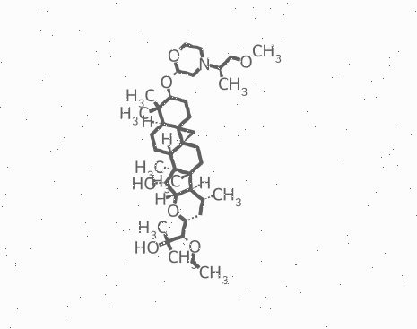 CCO[C@@H]([C@H]1C[C@@H](C)[C@H]2[C@H](O1)[C@H](O)[C@@]1(C)[C@@H]3CC[C@H]4C(C)(C)[C@@H](O[C@H]5CN([C@H](C)COC)CCO5)CCC45C[C@@]35CC[C@]21C)C(C)(C)O